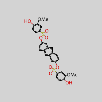 COc1cc(S(=O)(=O)Oc2ccc3cc4cc(OS(=O)(=O)c5ccc(O)c(OC)c5)ccc4cc3c2)ccc1O